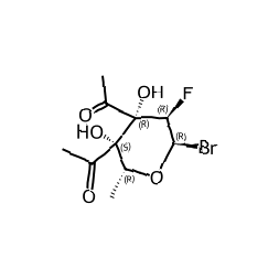 CC(=O)[C@@]1(O)[C@@H](F)[C@@H](Br)O[C@H](C)[C@@]1(O)C(C)=O